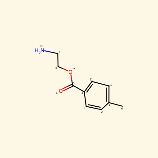 Cc1ccc(C(=O)OCCN)cc1